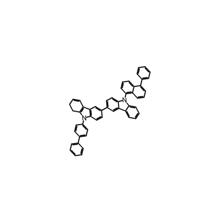 C1=Cc2c(n(-c3ccc(-c4ccccc4)cc3)c3ccc(-c4ccc5c(c4)c4ccccc4n5-c4cccc5c(-c6ccccc6)cccc45)cc23)CC1